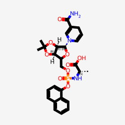 C[C@H](NP(=O)(OCC1O[C@@H](N2C=CCC(C(N)=O)=C2)[C@@H]2OC(C)(C)O[C@H]12)Oc1cccc2ccccc12)C(=O)O